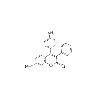 COc1ccc2c(-c3ccc(N)cc3)c(-c3ccccc3)c(=O)oc2c1